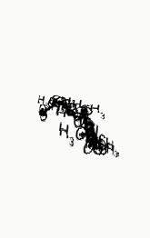 CCc1c2c(nc3ccc(OCN(CCS(C)(=O)=O)C(=O)OCc4ccc(NC(=O)[C@H](C)NC(=O)[C@@H](NC(=O)CCCCCN5C(=O)C=CC5=O)C(C)C)cc4)cc13)-c1cc3c(c(=O)n1C2)COC(=O)[C@]3(O)CC